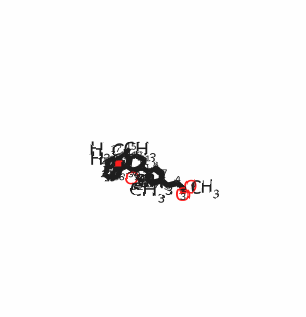 COC(=O)C=Cc1ccc(-c2ccc(C(C)(C)C)c(C34CC5CC(CC(C5)C3)C4)c2O[SiH](C)C)cc1